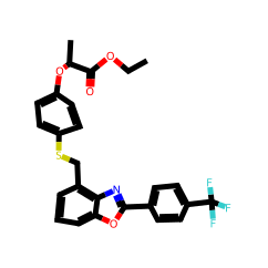 CCOC(=O)C(C)Oc1ccc(SCc2cccc3oc(-c4ccc(C(F)(F)F)cc4)nc23)cc1